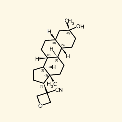 C[C@@]1(O)CC[C@H]2[C@H](CC[C@@H]3[C@@H]2CC[C@]2(C)[C@@H](C4(C#N)COC4)CC[C@@H]32)C1